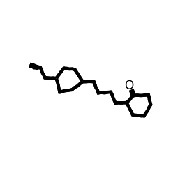 C=CCC1CCC(CCCCC2CCCCC2=O)CC1